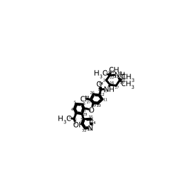 CC(O)c1cccc(Oc2ccc(C(=O)NC3CC(C)(C)NC(C)(C)C3)cc2Cl)c1-c1ccncc1